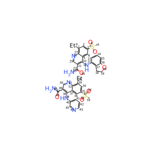 CCc1cc(S(C)(=O)=O)cc2c(Nc3cccc4c3CCO4)c(C(N)=O)cnc12.CCc1cc(S(C)(=O)=O)cc2c(Nc3cccnc3)c(C(N)=O)cnc12